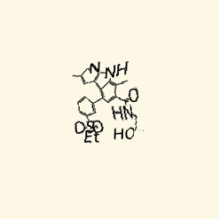 CCS(=O)(=O)c1cccc(-c2cc(C(=O)NC[C@H](C)O)c(C)c3[nH]c4ncc(C)cc4c23)c1